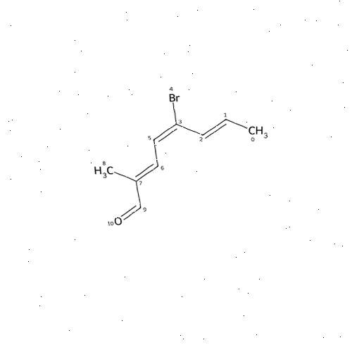 CC=C/C(Br)=C\C=C(/C)C=O